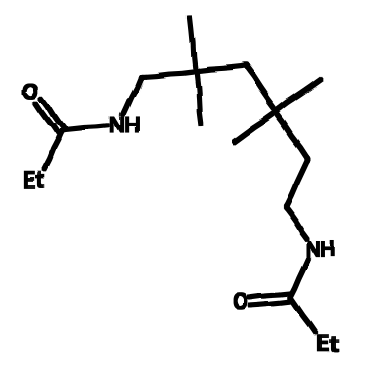 CCC(=O)NCCC(C)(C)CC(C)(C)CNC(=O)CC